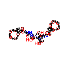 O=C(O)CN(CCN(CC(=O)O)CC(=O)NCCOC(=O)c1ccc2c(c1)OCCOCCOCCOCCO2)CCN(CC(=O)O)CC(=O)NCCOC(=O)c1ccc2c(c1)OCCOCCOCCOCCO2